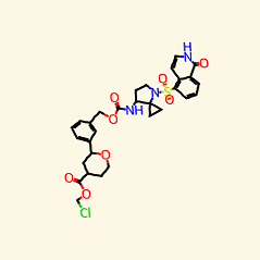 O=C(NC1CCN(S(=O)(=O)c2cccc3c(=O)[nH]ccc23)C12CC2)OCc1cccc(C2CC(C(=O)OCCl)CCO2)c1